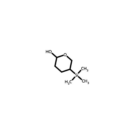 C[Si](C)(C)C1CCC(O)OC1